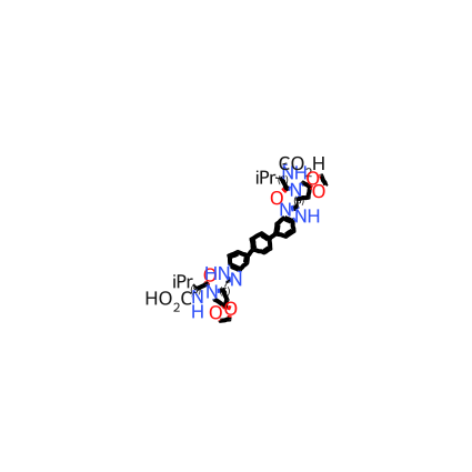 CC(C)[C@H](NC(=O)O)C(=O)N1CC2(C[C@H]1c1nc3cc(-c4ccc(-c5ccc6[nH]c([C@@H]7CC8(CN7C(=O)[C@@H](NC(=O)O)C(C)C)OCCO8)nc6c5)cc4)ccc3[nH]1)OCCO2